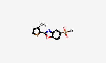 CCS(=O)(=O)c1ccc2oc(-c3sccc3C)nc2c1